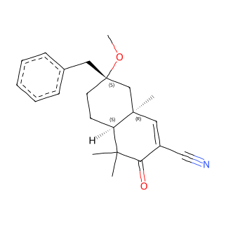 CO[C@@]1(Cc2ccccc2)CC[C@@H]2C(C)(C)C(=O)C(C#N)=C[C@]2(C)C1